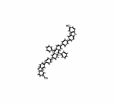 N#Cc1ccc2sc3ccc(-c4ccc(-c5ccc6c(-c7ccccc7)c7cc(-c8ccc(-c9ccc%10sc%11ccc(C#N)cc%11c%10c9)cc8)ccc7c(-c7ccccc7)c6c5)cc4)cc3c2c1